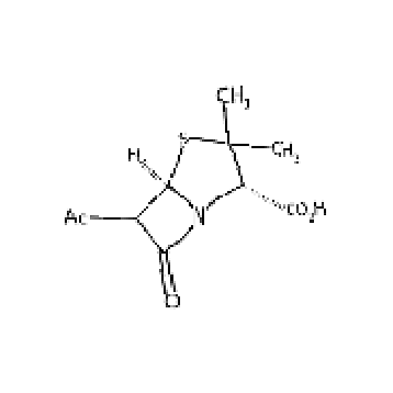 CC(=O)C1C(=O)N2[C@@H]1SC(C)(C)[C@@H]2C(=O)O